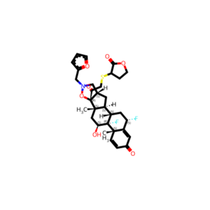 C[C@]12C=CC(=O)C=C1[C@@H](F)C[C@H]1[C@@H]3C[C@H]4CN(Cc5ccco5)O[C@@]4(C(=O)CSC4CCOC4=O)[C@@]3(C)C[C@H](O)[C@@]12F